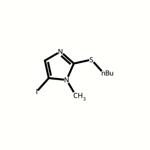 CCCCSc1ncc(I)n1C